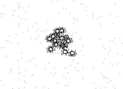 c1ccc(-c2cccc(-c3nc(-c4cccc(-c5ccccc5)c4)nc(-c4cccc5oc6cc(-n7c8cc9ccccc9cc8c8ccc9ccccc9c87)c(-c7ccccc7)cc6c45)n3)c2)cc1